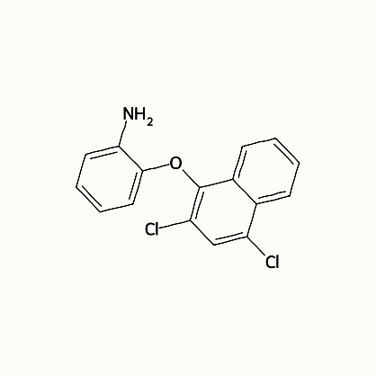 Nc1ccccc1Oc1c(Cl)cc(Cl)c2ccccc12